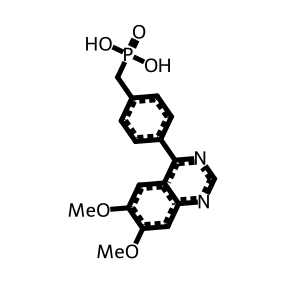 COc1cc2ncnc(-c3ccc(CP(=O)(O)O)cc3)c2cc1OC